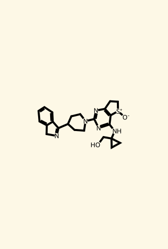 [O-][S+]1CCc2nc(N3CCC(C4=NCc5ccccc54)CC3)nc(NC3(CO)CC3)c21